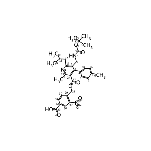 Cc1ccc(-c2c(CNC(=O)OC(C)(C)C)c(CC(C)C)nc(C)c2C(=O)OCc2ccc(C(=O)O)cc2[N+](=O)[O-])cc1